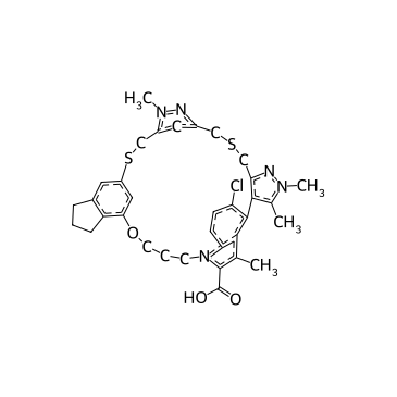 Cc1c(C(=O)O)n2c3ccc(Cl)c(c13)-c1c(nn(C)c1C)CSCc1cc(n(C)n1)CSc1cc3c(c(c1)OCCC2)CCC3